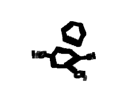 Cc1cc(O)ccc1O.c1ccccc1